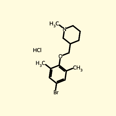 Cc1cc(Br)cc(C)c1OCC1CCCN(C)C1.Cl